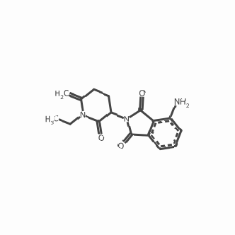 C=C1CCC(N2C(=O)c3cccc(N)c3C2=O)C(=O)N1CC